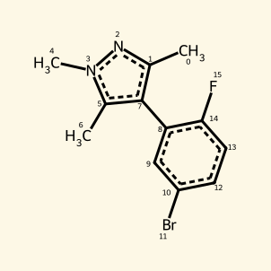 Cc1nn(C)c(C)c1-c1cc(Br)ccc1F